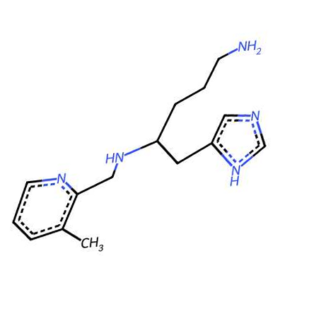 Cc1cccnc1CNC(CCCN)Cc1cnc[nH]1